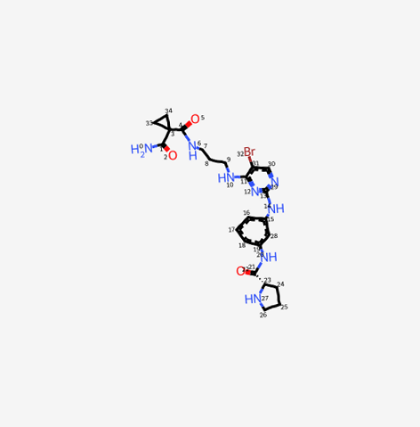 NC(=O)C1(C(=O)NCCCNc2nc(Nc3cccc(NC(=O)[C@@H]4CCCN4)c3)ncc2Br)CC1